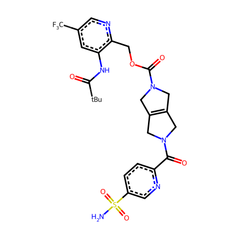 CC(C)(C)C(=O)Nc1cc(C(F)(F)F)cnc1COC(=O)N1CC2=C(C1)CN(C(=O)c1ccc(S(N)(=O)=O)cn1)C2